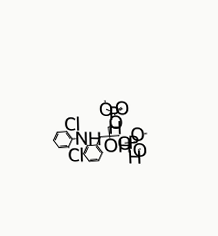 CO[PH](=O)OCC(O)(CO[PH](=O)OC)Cc1ccccc1Nc1c(Cl)cccc1Cl